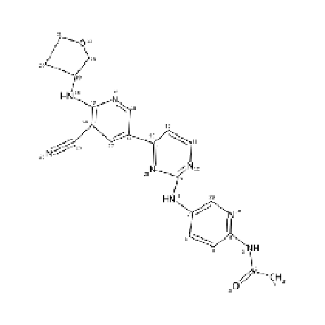 CC(=O)Nc1ccc(Nc2nccc(-c3cnc(NC4CCOC4)c(C#N)c3)n2)cn1